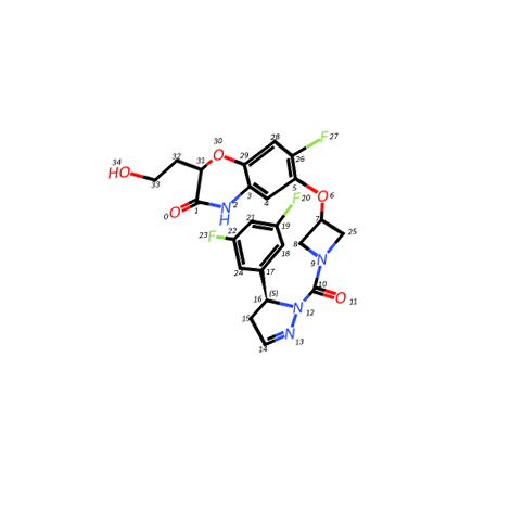 O=C1Nc2cc(OC3CN(C(=O)N4N=CC[C@H]4c4cc(F)cc(F)c4)C3)c(F)cc2OC1CCO